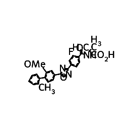 COCc1cc(-c2nc(-c3ccc(C(=O)NC(C)(C)C(=O)O)c(F)c3)no2)ccc1-c1ccccc1C